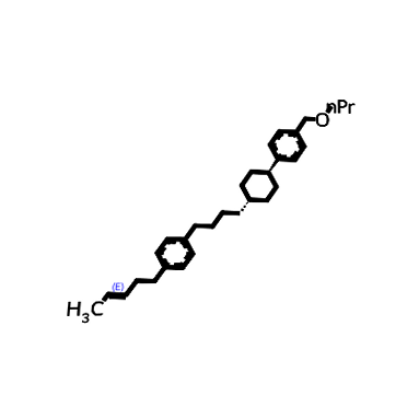 C/C=C/CCc1ccc(CCCC[C@H]2CC[C@H](c3ccc(COCCC)cc3)CC2)cc1